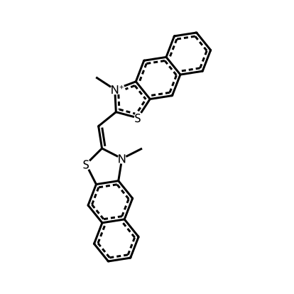 CN1C(=Cc2sc3cc4ccccc4cc3[n+]2C)Sc2cc3ccccc3cc21